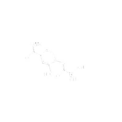 COC(=O)c1ccc(SC(=O)N(C)C)c(C)c1